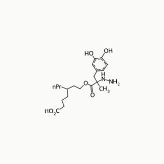 CCCC(CCCC(=O)O)CCOC(=O)C(C)(Cc1ccc(O)c(O)c1)NN